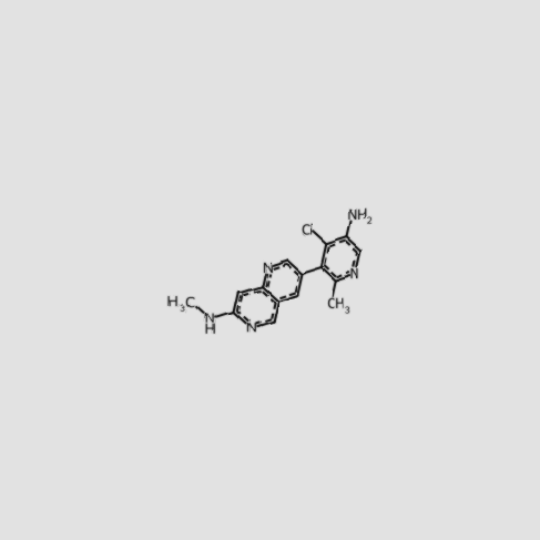 CNc1cc2ncc(-c3c(C)ncc(N)c3Cl)cc2cn1